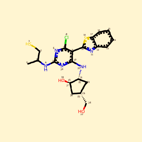 CC(CS)Nc1nc(Cl)c(-c2nc3ccccc3s2)c(N[C@@H]2C[C@H](CO)C[C@H]2O)n1